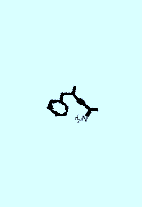 CC(N)C#CC(C)Cc1ccccc1